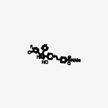 CNS(=O)(=O)c1ccc(CCN2CC=C(c3c[nH]c(-c4ccc(F)c(Cl)c4)c3-c3ccncc3)CC2)cc1.Cl